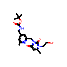 Cc1cc(CNC(=O)OC(C)(C)C)cc(Cn2c(=O)cc(C)n(CCO)c2=O)n1